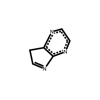 C1=Nc2nccnc2C1